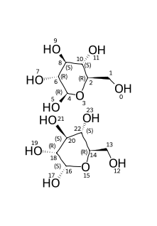 OC[C@H]1O[C@@H](O)[C@H](O)[C@@H](O)[C@@H]1O.OC[C@H]1O[C@H](O)[C@H](O)[C@@H](O)[C@@H]1O